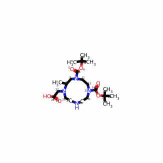 CC1CN(C(=O)OC(C)(C)C)CCN(C(=O)OC(C)(C)C)CCNCCN1CC(=O)O